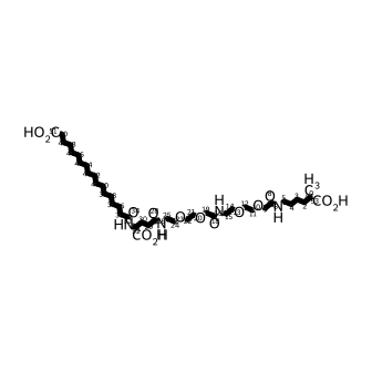 C[C@@H](CCCCNC(=O)COCCOCCNC(=O)COCCOCCNC(=O)CC[C@H](NC(=O)CCCCCCCCCCCCCCCCC(=O)O)C(=O)O)C(=O)O